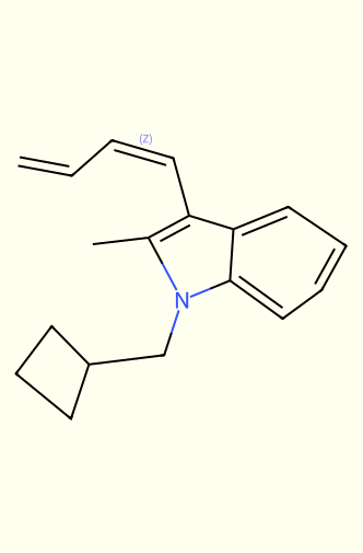 C=C/C=C\c1c(C)n(CC2CCC2)c2ccccc12